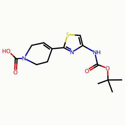 CC(C)(C)OC(=O)Nc1csc(C2=CCN(C(=O)O)CC2)n1